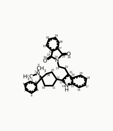 CN(C)C1(c2ccccc2)CCC(c2[nH]c3ccccc3c2CCN2C(=O)c3ccccc3C2=O)CC1